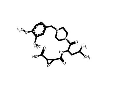 COc1ccc(CN2CCN(C(=O)C(CC(C)C)NC(=O)C3OC3C(=O)O)CC2)cc1OC